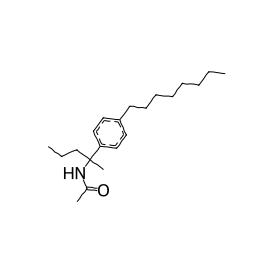 CCCCCCCCc1ccc(C(C)(CCC)NC(C)=O)cc1